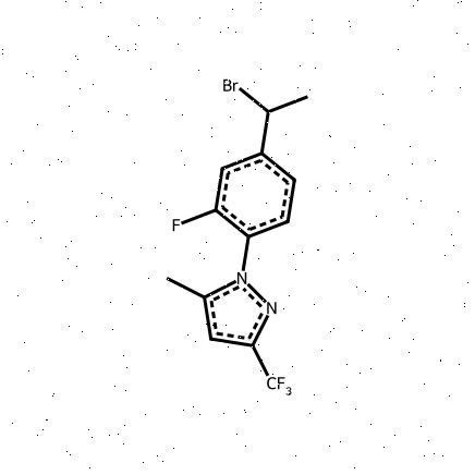 Cc1cc(C(F)(F)F)nn1-c1ccc(C(C)Br)cc1F